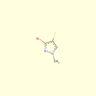 Cn1[c]c(F)c(Br)n1